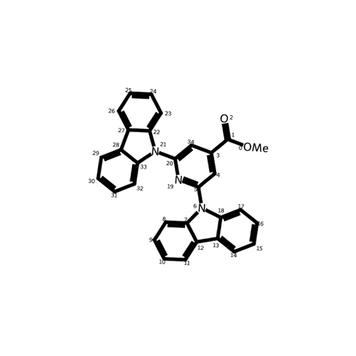 COC(=O)c1cc(-n2c3ccccc3c3ccccc32)nc(-n2c3ccccc3c3ccccc32)c1